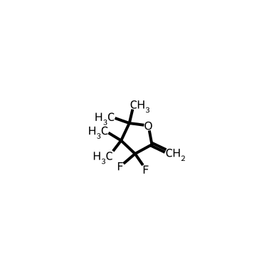 C=C1OC(C)(C)C(C)(C)C1(F)F